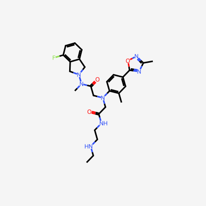 CCNCCNC(=O)CN(CC(=O)N(C)N1Cc2cccc(F)c2C1)c1ccc(-c2nc(C)no2)cc1C